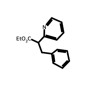 CCOC(=O)C(Cc1ccccc1)c1ccccn1